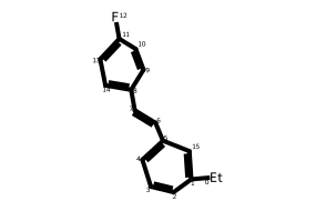 CCc1cccc(/C=C/c2ccc(F)cc2)c1